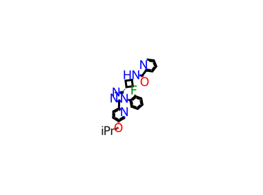 CC(C)Oc1ccc(-c2nnc([C@H]3C[C@H](NC(=O)c4ccccn4)C3)n2-c2ccccc2F)nc1